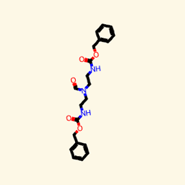 O=CN(CCNC(=O)OCc1ccccc1)CCNC(=O)OCc1ccccc1